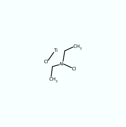 C[CH2][Al]([Cl])[CH2]C.[Cl][Ti]